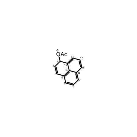 CC(=O)OC1C=Cc2cccc3cccc1c23